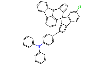 Clc1ccc2c(c1)C1(c3ccccc3B3c4ccccc4-c4cccc1c43)c1cc(-c3ccc(N(c4ccccc4)c4ccccc4)cc3)ccc1-2